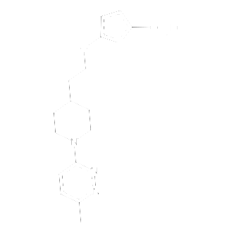 CCOC(=O)c1ccc(OCCC2CCN(c3ccc(C)nn3)CC2)s1